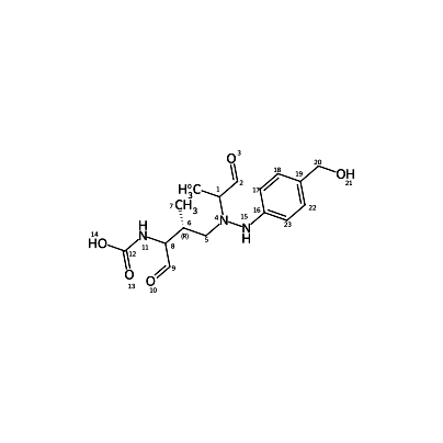 CC(C=O)N(C[C@@H](C)C(C=O)NC(=O)O)Nc1ccc(CO)cc1